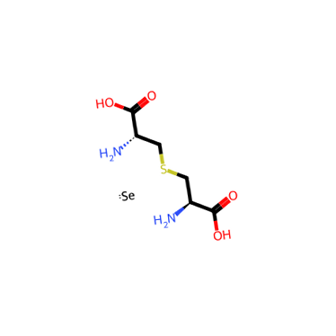 N[C@@H](CSC[C@H](N)C(=O)O)C(=O)O.[Se]